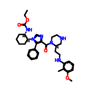 CCOC(=O)N[C@H]1CCCC[C@@H]1n1cnc(C(=O)N2CCNC[C@H]2CCNc2cccc(OC)c2C)c1-c1ccccc1